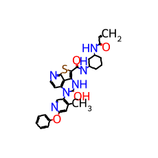 C=CC(=O)N[C@@H]1CCC[C@@H](NC(=O)c2sc3nccc4c3c2NC(O)N4c2cnc(Oc3ccccc3)cc2C)C1